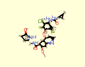 COc1cc2nccc(Oc3c(F)cc(NC(=O)NC4CC4)c(Cl)c3F)c2cc1C(=O)NC[C@@H]1CCC(=O)N1